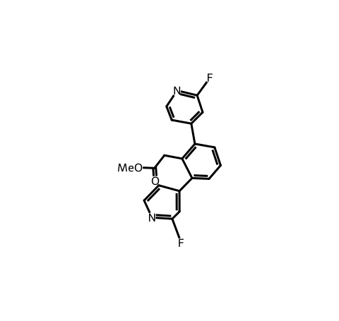 COC(=O)Cc1c(-c2ccnc(F)c2)cccc1-c1ccnc(F)c1